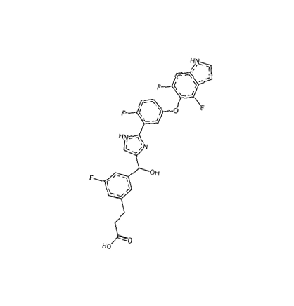 O=C(O)CCc1cc(F)cc(C(O)c2c[nH]c(-c3cc(Oc4c(F)cc5[nH]ccc5c4F)ccc3F)n2)c1